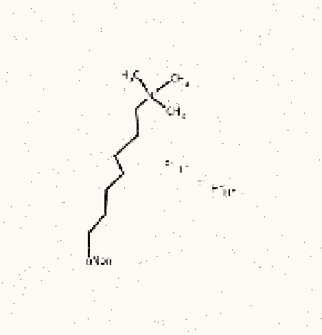 CCCCCCCCCCCCCCCC[N+](C)(C)C.[F-].[F-].[F-].[H+].[H+]